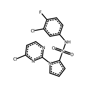 O=S(=O)(Nc1ccc(F)c(Cl)c1)c1cccn1-c1nccc(Cl)n1